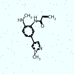 C=CC(=O)Nc1cc(-c2cnn(C)c2)ccc1NC